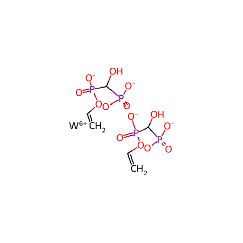 C=COP(=O)([O-])C(O)P(=O)([O-])[O-].C=COP(=O)([O-])C(O)P(=O)([O-])[O-].[W+6]